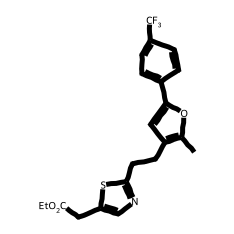 CCOC(=O)Cc1cnc(CCc2cc(-c3ccc(C(F)(F)F)cc3)oc2C)s1